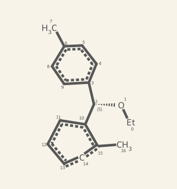 CCO[C@@H](c1ccc(C)cc1)c1ccccc1C